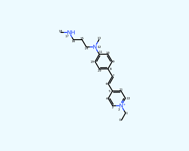 CC[n+]1ccc(/C=C/c2ccc(N(C)CCCNC)cc2)cc1